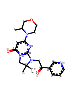 CC1COCCN1c1cc(=O)n2c(n1)N(CC(=O)c1cccnc1)C(C)(C(F)(F)F)C2